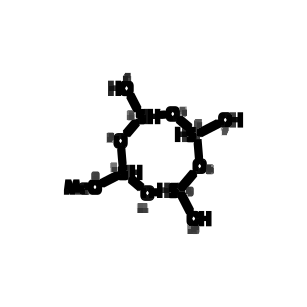 CO[SiH]1O[SiH](O)O[SiH](O)O[SiH](O)O1